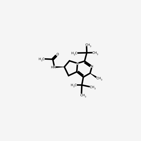 CC(=O)N[C@@H]1CC2=C(C(C)(C)C)[C@H](C)N=C(C(C)(C)C)N2C1